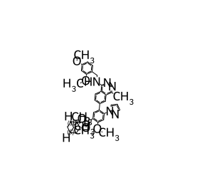 COc1ccc(CNc2nnc(C)c3cc(-c4cc(B5OC6C[C@@H]7C[C@@H](C7(C)C)[C@]6(C)O5)c(OC)cc4-n4cccn4)ccc23)c(OC)c1